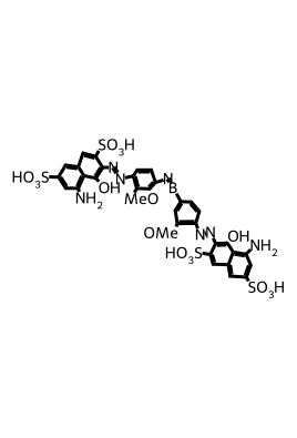 COc1cc(/B=N/c2ccc(/N=N/c3c(S(=O)(=O)O)cc4cc(S(=O)(=O)O)cc(N)c4c3O)c(OC)c2)ccc1/N=N/c1c(S(=O)(=O)O)cc2cc(S(=O)(=O)O)cc(N)c2c1O